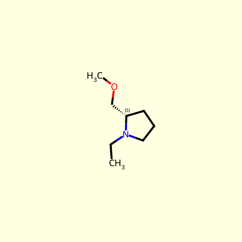 CCN1CCC[C@H]1COC